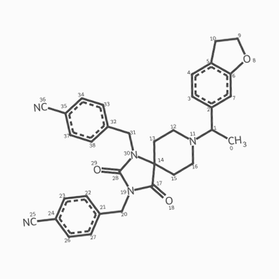 CC(c1ccc2c(c1)OCC2)N1CCC2(CC1)C(=O)N(Cc1ccc(C#N)cc1)C(=O)N2Cc1ccc(C#N)cc1